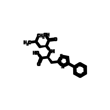 CC(C)C[C@H](N[C@@H](Cc1nc(-c2ccccc2)cs1)C(=O)O)C(=O)O